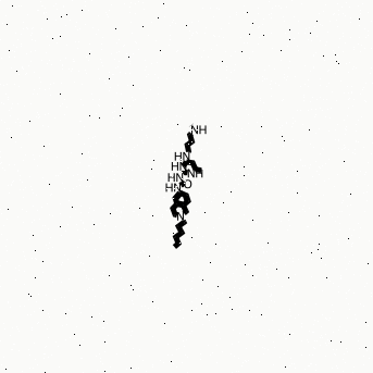 CCCCCCN1CCc2cc(NC(=O)NC3NC(C)CC(NCCCCNC)N3)ccc2C1